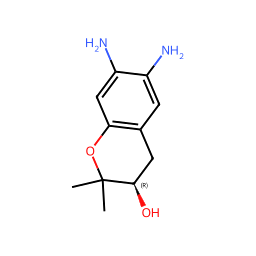 CC1(C)Oc2cc(N)c(N)cc2C[C@H]1O